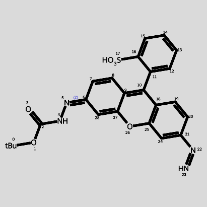 CC(C)(C)OC(=O)N/N=c1/ccc2c(-c3ccccc3S(=O)(=O)O)c3ccc(N=N)cc3oc-2c1